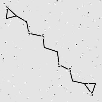 C(CSSCC1CS1)SSCC1CS1